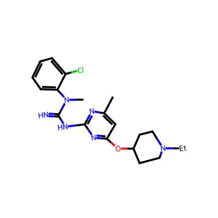 CCN1CCC(Oc2cc(C)nc(NC(=N)N(C)c3ccccc3Cl)n2)CC1